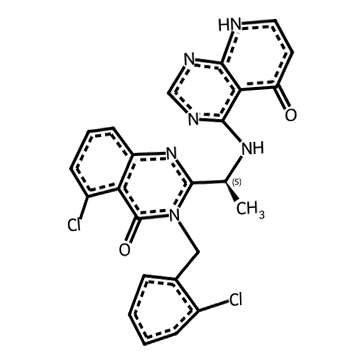 C[C@H](Nc1ncnc2[nH]ccc(=O)c12)c1nc2cccc(Cl)c2c(=O)n1Cc1ccccc1Cl